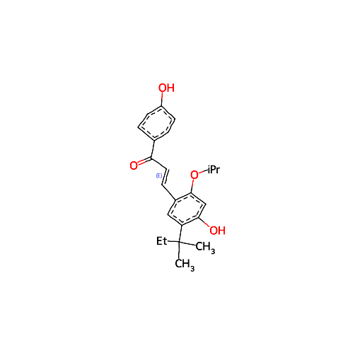 CCC(C)(C)c1cc(/C=C/C(=O)c2ccc(O)cc2)c(OC(C)C)cc1O